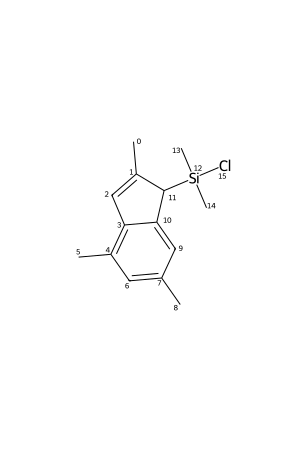 CC1=Cc2c(C)cc(C)cc2C1[Si](C)(C)Cl